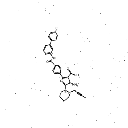 CC#CCN1CCCC[C@H]1c1nc(-c2ccc(C(=O)Nc3cc(-c4ccc(Cl)cc4)ccn3)cc2)c(C(N)=O)n1N